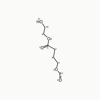 O=POCCCC(=O)OCCO